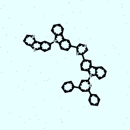 c1ccc(-c2cc(-c3ccccc3)nc(-n3c4ccccc4c4cc(-c5cncc(-c6ccc7c(c6)c6ccccc6n7-c6ccc7sc8cccnc8c7c6)n5)ccc43)c2)cc1